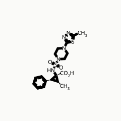 Cc1nnc(N2CCN(S(=O)(=O)N[C@@]3(C(=O)O)[C@H](C)[C@@H]3c3ccccc3)CC2)s1